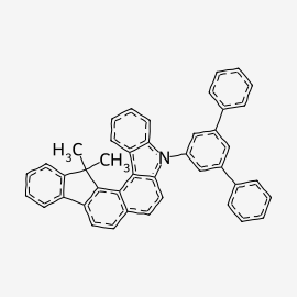 CC1(C)c2ccccc2-c2ccc3ccc4c(c5ccccc5n4-c4cc(-c5ccccc5)cc(-c5ccccc5)c4)c3c21